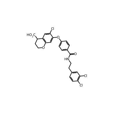 O=C(NCCc1ccc(Cl)c(Cl)c1)c1ccc(Oc2cc3c(cc2Cl)C(C(=O)O)CCO3)cc1